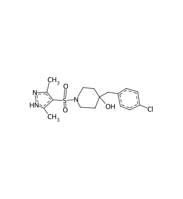 Cc1n[nH]c(C)c1S(=O)(=O)N1CCC(O)(Cc2ccc(Cl)cc2)CC1